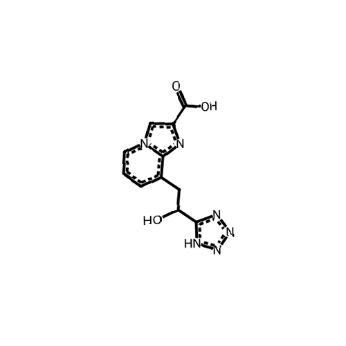 O=C(O)c1cn2cccc(CC(O)c3nnn[nH]3)c2n1